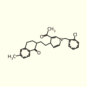 CC(=O)C1=CN(Cc2ccccc2Cl)C=CC1CCC1CCc2cc(C)ccc2C1=O